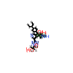 CCC(CC)c1ccc(C(O)(c2cncc(-c3noc(C(C)(C)O)n3)c2)C2(C)CNC2)cc1.Cl